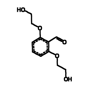 O=Cc1c(OCCO)cccc1OCCO